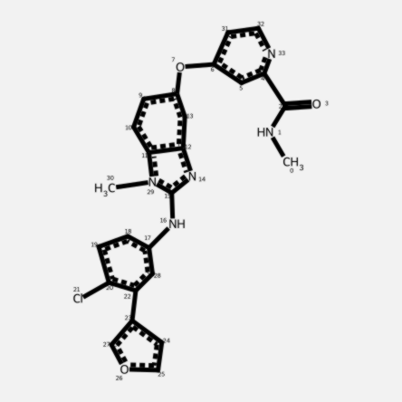 CNC(=O)c1cc(Oc2ccc3c(c2)nc(Nc2ccc(Cl)c(-c4ccoc4)c2)n3C)ccn1